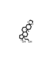 C[C@]12CCC3(CC1CCC1C2CC[C@@]2(CCO)C1CC[C@@H]2O)OCCO3